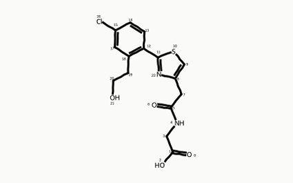 O=C(O)CNC(=O)Cc1csc(-c2ccc(Cl)cc2CCO)n1